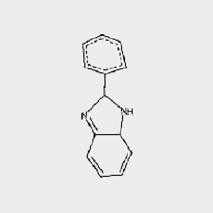 C1=CC2=NC(c3ccccc3)NC2C=C1